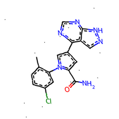 Cc1ccc(Cl)cc1-n1cc(-c2ncnc3[nH]ncc23)cc1C(N)=O